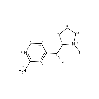 C[C@H](c1ccnc(N)n1)[C@@H]1CCCN1C